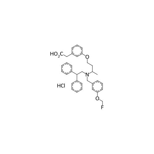 CC(CCOc1cccc(CC(=O)O)c1)N(Cc1cccc(OCF)c1)CC(c1ccccc1)c1ccccc1.Cl